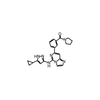 O=C(c1cccc(-c2cc3nccn3c(Nc3cc(C4CC4)[nH]n3)n2)c1)N1CCCC1